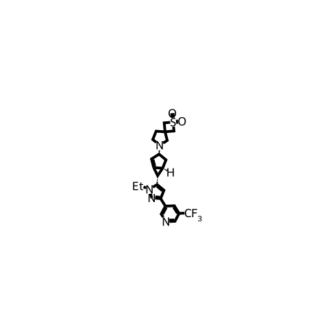 CCn1nc(-c2cncc(C(F)(F)F)c2)cc1[C@@H]1C2=C[C@H](N3CCC4(C3)CS(=O)(=O)C4)C[C@H]21